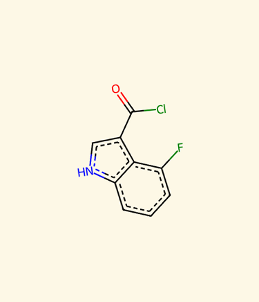 O=C(Cl)c1c[nH]c2cccc(F)c12